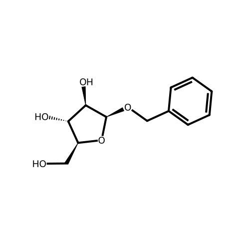 OC[C@@H]1O[C@H](OCc2ccccc2)[C@H](O)[C@H]1O